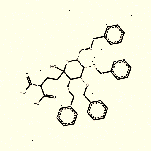 O=C(O)C(CCC1(O)O[C@H](COCc2ccccc2)[C@H](OCc2ccccc2)[C@H](OCc2ccccc2)[C@H]1OCc1ccccc1)C(=O)O